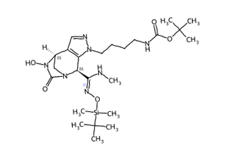 CN/C(=N\O[Si](C)(C)C(C)(C)C)[C@@H]1c2c(cnn2CCCCNC(=O)OC(C)(C)C)[C@H]2CN1C(=O)N2O